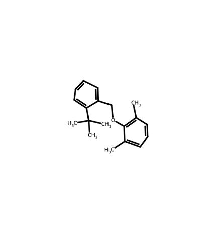 Cc1cccc(C)c1OCc1ccccc1C(C)(C)C